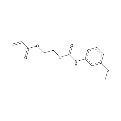 C=CC(=O)OCCOC(=O)Nc1cccc(SC)c1